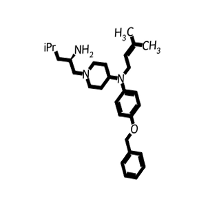 CC(C)=CCN(c1ccc(OCc2ccccc2)cc1)C1CCN(C[C@H](N)CC(C)C)CC1